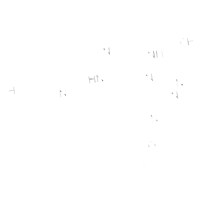 COc1cccc(-c2nc(Nc3ccnc(NCCN4CCC(O)CC4)c3)c3c(C)ccn3n2)n1